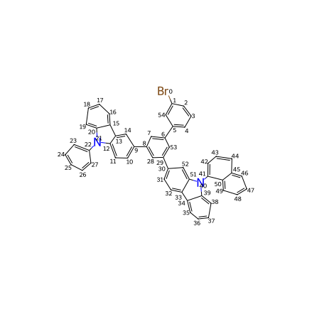 Brc1cccc(-c2cc(-c3ccc4c(c3)c3ccccc3n4-c3ccccc3)cc(-c3ccc4c5ccccc5n(-c5cccc6ccccc56)c4c3)c2)c1